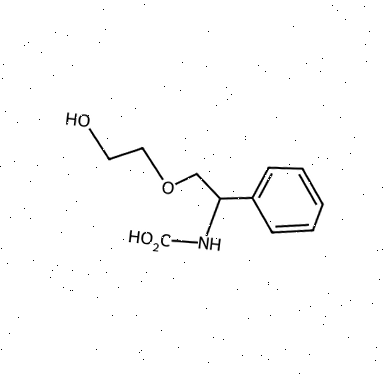 O=C(O)NC(COCCO)c1ccccc1